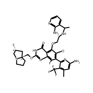 Cc1cc(N)nc(-c2c(Cl)c(OCCNC(C)c3cccnc3N)c3c(=O)[nH]c(OC[C@@]45CCCN4C[C@H](F)C5)nc3c2F)c1C(F)(F)F